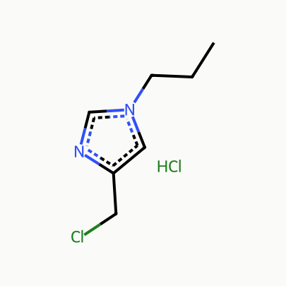 CCCn1cnc(CCl)c1.Cl